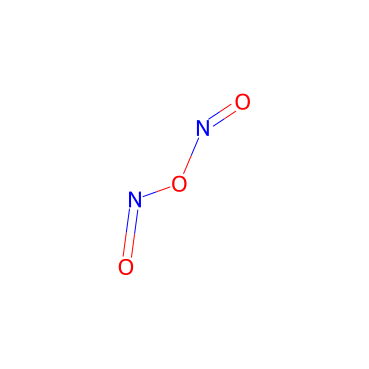 O=NON=O